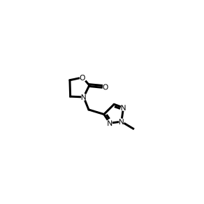 Cn1ncc(CN2CCOC2=O)n1